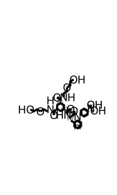 O=C(NCCOCCO)C1C[C@@H](C(=O)NCCOCCO)C[C@@H](C(=O)N[C@@H](Cc2ccccc2)C(=O)Nc2ccc(N(O)O)cc2)C1